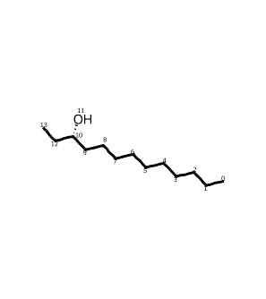 CCCCCCCCCC[C@@H](O)CC